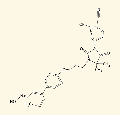 C\C=C/C(=C\C=N\O)c1ccc(OCCCN2C(=O)N(c3ccc(C#N)c(Cl)c3)C(=O)C2(C)C)cc1